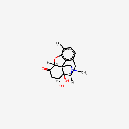 Cc1ccc2c3c1O[C@H]1C(=O)C[C@@H](O)[C@@]4(O)[C@@H](C2)N(C)CCC314